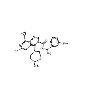 COc1cc([C@H](C)NC(=O)c2cnc3c(C4CC4)nc(C)cc3c2N2CCN[C@@H](C)CC2)ccn1